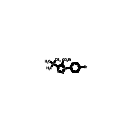 CCOC(=O)c1c([Si](C)(C)C)nnn1-c1ccc(Br)cc1